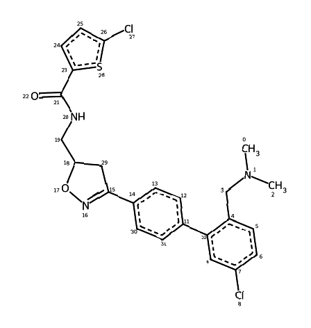 CN(C)Cc1ccc(Cl)cc1-c1ccc(C2=NOC(CNC(=O)c3ccc(Cl)s3)C2)cc1